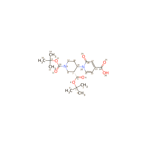 CC(C)(C)OC(=O)[C@@H]1CN(C(=O)OC(C)(C)C)CCC1n1ccc(C(=O)O)cc1=O